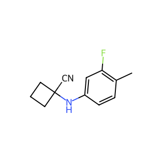 Cc1ccc(NC2(C#N)CCC2)cc1F